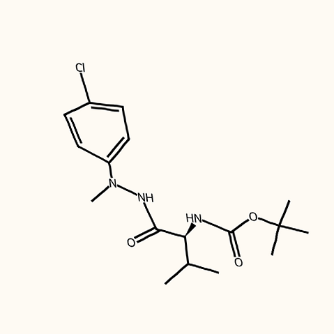 CC(C)[C@H](NC(=O)OC(C)(C)C)C(=O)NN(C)c1ccc(Cl)cc1